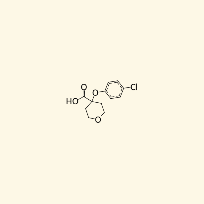 O=C(O)C1(Oc2ccc(Cl)cc2)CCOCC1